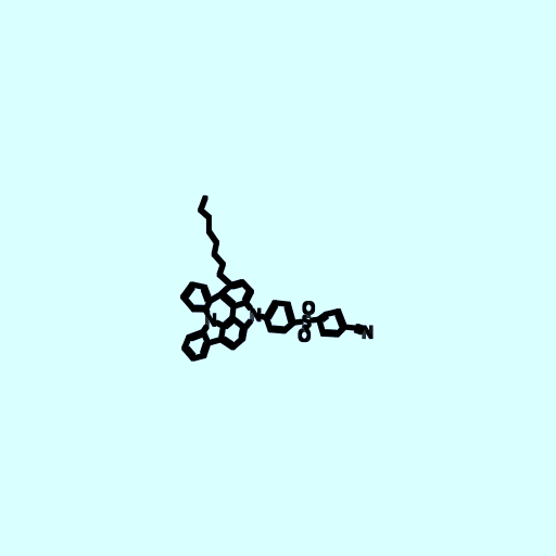 CCCCCCCCc1ccc2c3c1c1ccccc1n1c4ccccc4c4ccc(c3c41)n2-c1ccc(S(=O)(=O)c2ccc(C#N)cc2)cc1